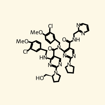 COc1ccc(CNc2nc(N3CCC[C@H]3CO)ncc2C(=O)N(Cc2ccc(OC)c(Cl)c2)c2nc(N3CCCC3)ncc2C(=O)NCc2ncccn2)cc1Cl